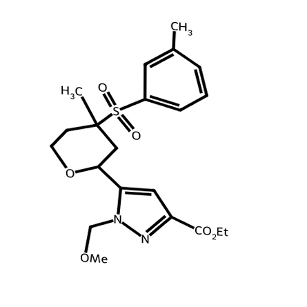 CCOC(=O)c1cc(C2CC(C)(S(=O)(=O)c3cccc(C)c3)CCO2)n(COC)n1